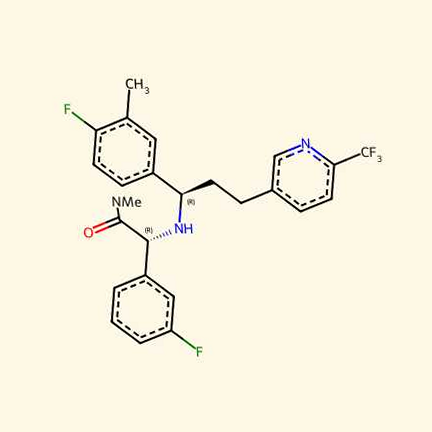 CNC(=O)[C@H](N[C@H](CCc1ccc(C(F)(F)F)nc1)c1ccc(F)c(C)c1)c1cccc(F)c1